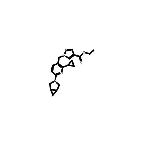 CCOC(=O)c1cnn(Cc2ccc(N3CC4CC4C3)nc2C2CC2)c1